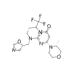 C[C@@H]1COCCN1c1cc(=O)n2c(n1)N(Cc1cnco1)CCC2C(F)(F)F